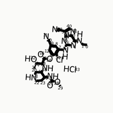 CCNc1nc(Nc2cc(C#N)cc(OC(=O)[C@@H](NC3CNCCC3NC(=O)OC)[C@@H](C)O)c2Cl)nn2c(C#N)cnc12.Cl